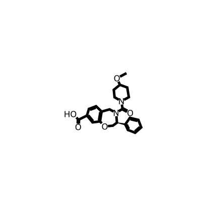 COC1CCN(C(=O)N2Cc3ccc(C(=O)O)cc3OC[C@@H]2c2ccccc2)CC1